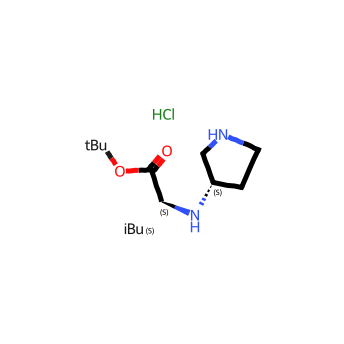 CC[C@H](C)[C@H](N[C@H]1CCNC1)C(=O)OC(C)(C)C.Cl